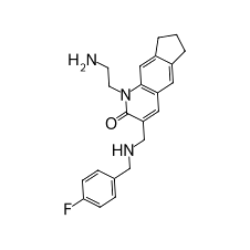 NCCn1c(=O)c(CNCc2ccc(F)cc2)cc2cc3c(cc21)CCC3